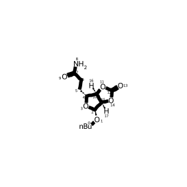 CCCCO[C@@H]1O[C@H](CCC(N)=O)[C@H]2OC(=O)O[C@@H]12